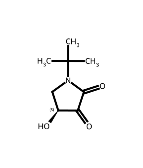 CC(C)(C)N1C[C@H](O)C(=O)C1=O